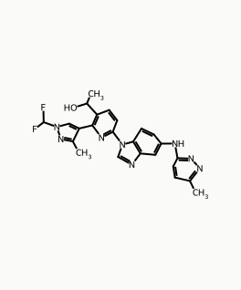 Cc1ccc(Nc2ccc3c(c2)ncn3-c2ccc(C(C)O)c(-c3cn(C(F)F)nc3C)n2)nn1